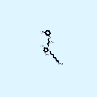 CC(=O)O/C=C/C=C/CCC[C@@H]1[C@@H](CC[C@@H](O)COc2cccc(C(F)(F)F)c2)[C@H](O)C[C@@H]1O